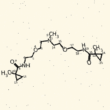 CN(CCOCCNC(=O)C1(C)CC1)CCOCCNC(=O)C1(C)CC1